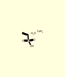 C=CS(=O)(=O)O.O.[CaH2]